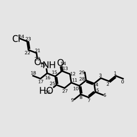 C/C=C/Cc1c(C)cc(C)c(C2CC(=O)C(C(CC)NOCC=CCl)=C(O)C2)c1C